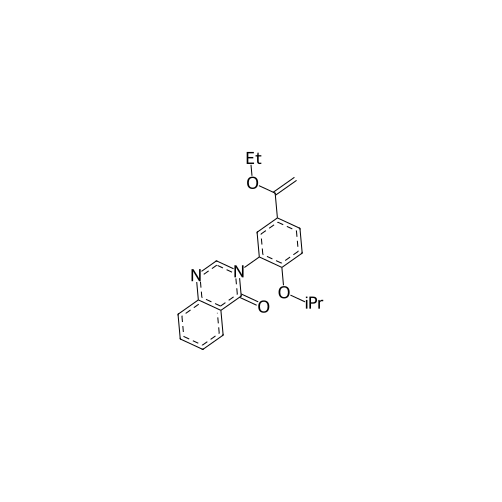 C=C(OCC)c1ccc(OC(C)C)c(-n2cnc3ccccc3c2=O)c1